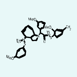 CCN(SC1=CC=CC(OC)C=C1)C1C=CC=CC2=C1CCN2C(C(=O)NSc1ccc(C)cc1OC)c1cccc(OC)c1